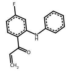 C=CC(=O)c1ccc(F)cc1Nc1ccccc1